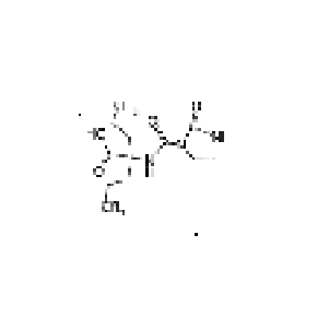 CCCC(CCC)(NC(=O)N1CCNC1=O)C(=O)O